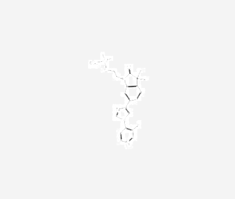 CC1(C)C(=O)N(CCO[Si](C)(C)C(C)(C)C)c2cc(-c3cn(-c4ccncc4F)cn3)ccc21